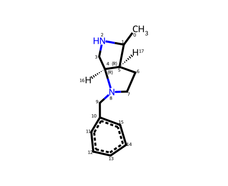 CC1NC[C@H]2[C@@H]1CCN2Cc1ccccc1